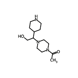 CC(=O)N1CCN(C(CO)C2CCNCC2)CC1